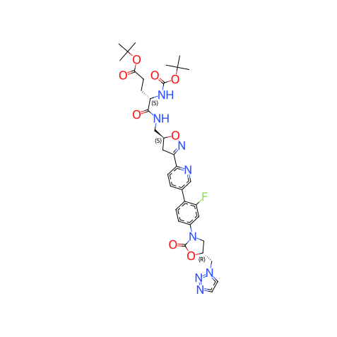 CC(C)(C)OC(=O)CC[C@H](NC(=O)OC(C)(C)C)C(=O)NC[C@@H]1CC(c2ccc(-c3ccc(N4C[C@H](Cn5ccnn5)OC4=O)cc3F)cn2)=NO1